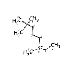 CC[S+](C)CCCC(C)(C)C